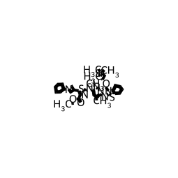 CCOC(=O)c1nc(N(C)c2cc(C)c(N=c3sc4ccccc4n3COCC[Si](C)(C)C)nn2)sc1C1CN(c2ccccc2)C1